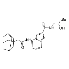 CC(C)(C)C(O)CNC(=O)c1cn2c(NC(=O)CC34CC5CC(CC(C5)C3)C4)cccc2n1